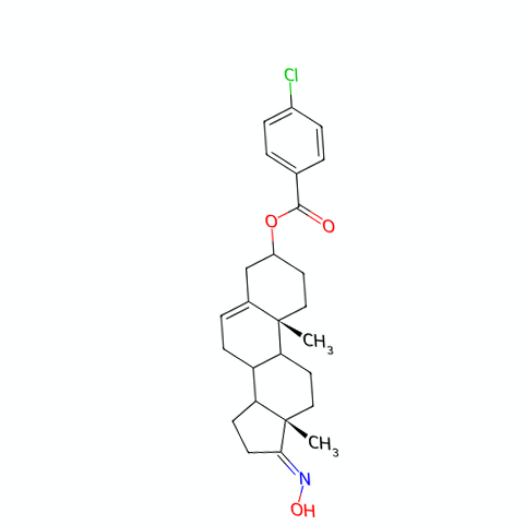 C[C@]12CCC(OC(=O)c3ccc(Cl)cc3)CC1=CCC1C2CC[C@]2(C)/C(=N/O)CCC12